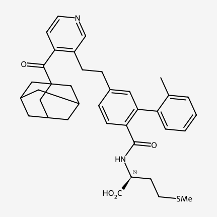 CSCC[C@H](NC(=O)c1ccc(CCc2cnccc2C(=O)C23CC4CC(CC(C4)C2)C3)cc1-c1ccccc1C)C(=O)O